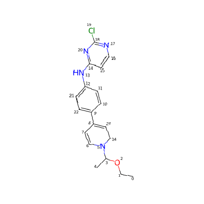 CCOC(C)N1C=CC(c2ccc(Nc3ccnc(Cl)n3)cc2)=CC1